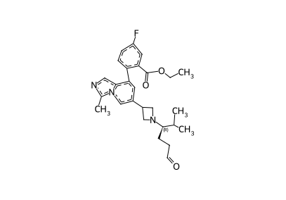 CCOC(=O)c1cc(F)ccc1-c1cc(C2CN([C@H](CCC=O)C(C)C)C2)cn2c(C)ncc12